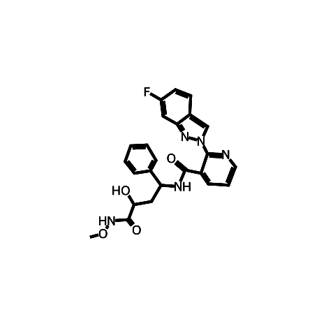 CONC(=O)C(O)CC(NC(=O)c1cccnc1-n1cc2ccc(F)cc2n1)c1ccccc1